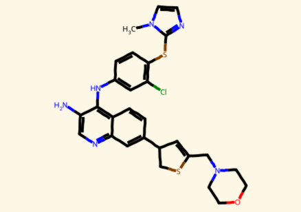 Cn1ccnc1Sc1ccc(Nc2c(N)cnc3cc(C4C=C(CN5CCOCC5)SC4)ccc23)cc1Cl